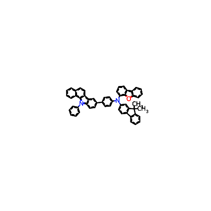 CC1(C)c2ccccc2-c2ccc(N(c3ccc(-c4ccc5c(c4)c4ccc6ccccc6c4n5-c4ccccc4)cc3)c3cccc4c3oc3ccccc34)cc21